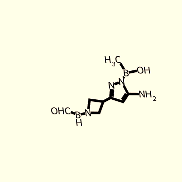 CB(O)n1nc(C2CN(BC=O)C2)cc1N